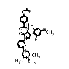 COc1cc(F)c([C@@H]2CN(c3cccc(N4C[C@@H](C)N(C)[C@@H](C)C4)n3)C(=O)C2NC(=O)c2ccc(OC(F)F)cc2)c(F)c1